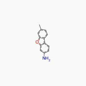 Cc1ccc2c(c1)oc1cc(N)ccc12